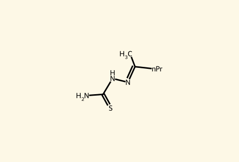 CCCC(C)=NNC(N)=S